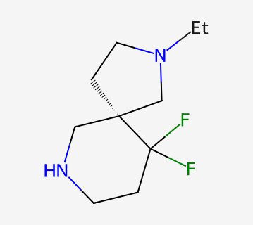 CCN1CC[C@]2(CNCCC2(F)F)C1